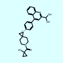 O=C(N1CCC2(CC1)C[C@@H]2c1ccc(-c2cc(C(O)O)nc3ccccc23)cc1)C1(O)CC1